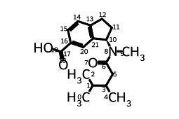 CC(C)C(C)CC(=O)N(C)[C@@H]1CCc2ccc(C(=O)O)cc21